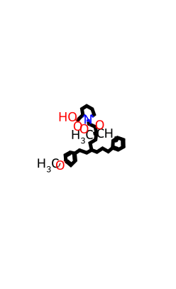 COc1ccc(CCC(CCCc2ccccc2)CCC(C)(C)C(=O)C(=O)N2CCCCC2C(=O)O)cc1